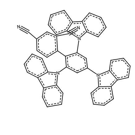 N#Cc1ccc(-c2c(-n3c4ccccc4c4ccccc43)cc(-n3c4ccccc4c4ccccc43)cc2-n2c3ccccc3c3ccccc32)c(C#N)c1